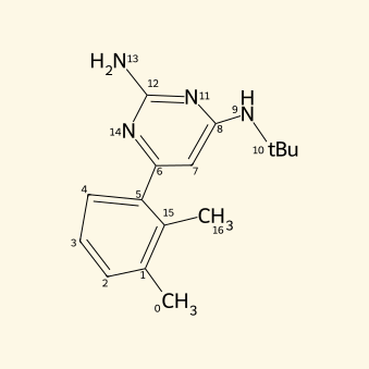 Cc1cccc(-c2cc(NC(C)(C)C)nc(N)n2)c1C